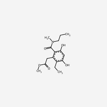 CCCN(C)C(=O)c1c(O)cc(O)c(CC)c1CC(=O)OC